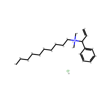 C=CC(c1ccccc1)[N+](C)(C)CCCCCCCCCC.[Cl-]